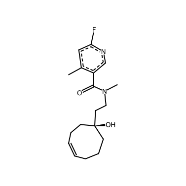 Cc1cc(F)ncc1C(=O)N(C)CC[C@@]1(O)CC/C=C\CCC1